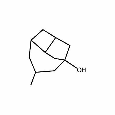 CC1CC2CC3CC(O)(C1)CC23